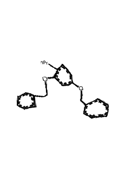 [CH2]CCc1ccc(OCc2ccccc2)cc1OCc1ccccc1